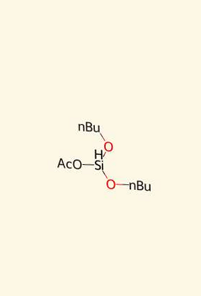 CCCCO[SiH](OCCCC)OC(C)=O